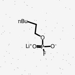 CCCCCCOP(=O)([O-])F.[Li+]